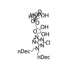 CCCCCCCCCCCCN(CCCCCCCCCCCC)c1nc(Cl)nc2c1ncn2C1OC(COP(=O)(O)CP(=O)(O)O)C(O)C1O